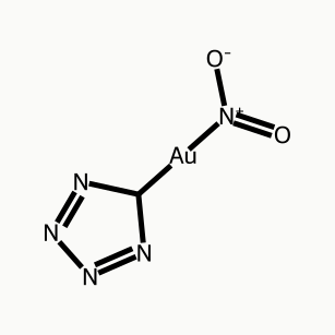 O=[N+]([O-])[Au][CH]1N=NN=N1